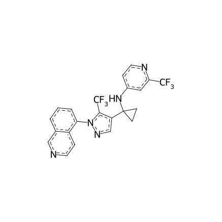 FC(F)(F)c1cc(NC2(c3cnn(-c4cccc5cnccc45)c3C(F)(F)F)CC2)ccn1